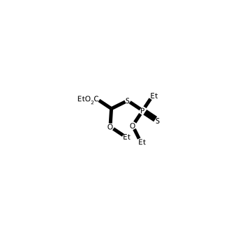 CCOC(=O)C(OCC)SP(=S)(CC)OCC